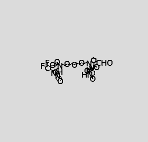 CN(C(=O)c1c(C=O)cccc1NCCOCCOCCOCCNC(=O)COC1C(F)=C(F)C=CC1c1csc(N2CCOCC2)n1)C1CCC(=O)NC1=O